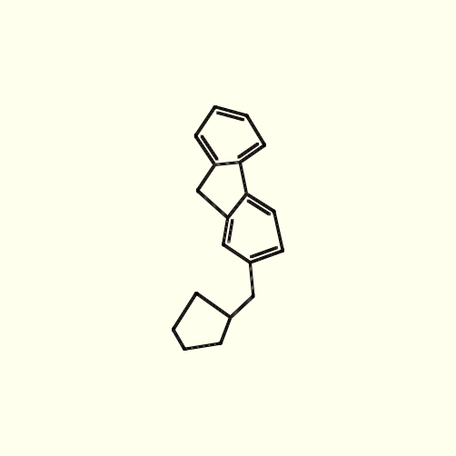 c1ccc2c(c1)Cc1cc(CC3CCCC3)ccc1-2